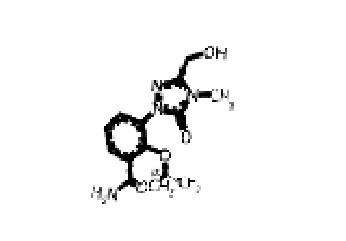 C[C@H](Oc1c(C(N)=O)cccc1-n1nc(CO)n(C)c1=O)C(F)(F)F